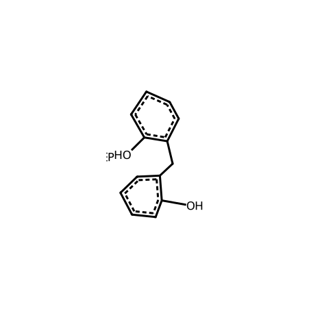 Oc1ccccc1Cc1ccccc1O.[P]